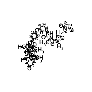 C[C@H](NC(=O)CCN1C(=O)C=CC1=O)C(=O)N[C@@H](C)C(=O)Nc1cccc(Oc2ccc([C@@H]3O[C@@H]4C[C@H]5[C@@H]6C[C@H](F)C7=CC(=O)C=C[C@]7(C)[C@@]6(F)[C@@H](O)C[C@]5(C)[C@]4(C(=O)CO)O3)cc2)c1